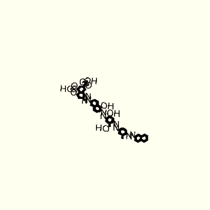 Cc1cc(N=Nc2cc(O)c(N=Nc3ccc4cc(-n5nc6ccc7c(S(=O)(=O)O)cc(S(=O)(=O)O)cc7c6n5)ccc4c3O)cc2CO)ccc1N=Nc1ccc2ccccc2c1